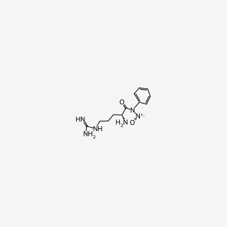 N=C(N)NCCC[C@H](N)C(=O)N([N+]=O)c1ccccc1